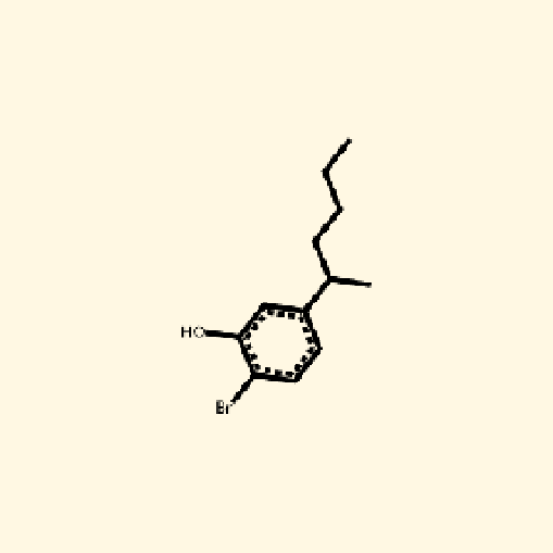 CCCCC(C)c1ccc(Br)c(O)c1